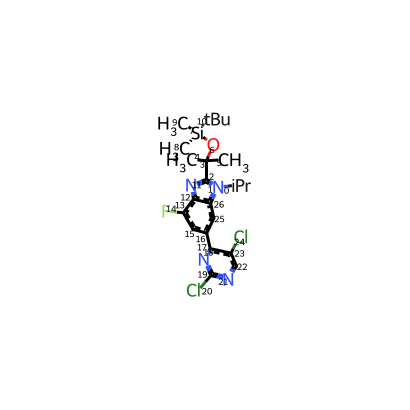 CC(C)n1c(C(C)(C)O[Si](C)(C)C(C)(C)C)nc2c(F)cc(-c3nc(Cl)ncc3Cl)cc21